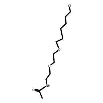 CC(=O)NCCOCCOCCCCCCCl